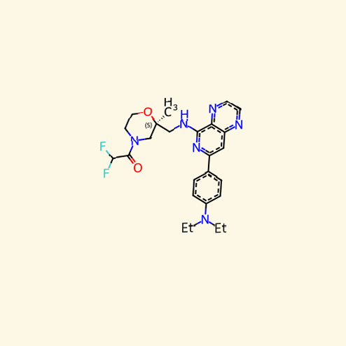 CCN(CC)c1ccc(-c2cc3nccnc3c(NC[C@@]3(C)CN(C(=O)C(F)F)CCO3)n2)cc1